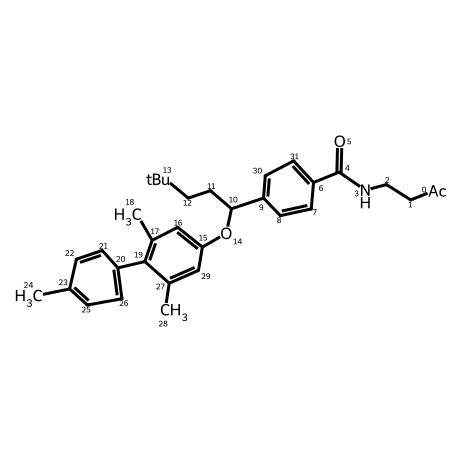 CC(=O)CCNC(=O)c1ccc(C(CCC(C)(C)C)Oc2cc(C)c(-c3ccc(C)cc3)c(C)c2)cc1